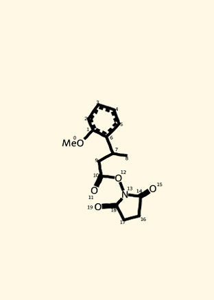 COc1ccccc1C(C)CC(=O)ON1C(=O)CCC1=O